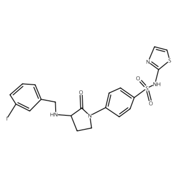 O=C1C(NCc2cccc(I)c2)CCN1c1ccc(S(=O)(=O)Nc2nccs2)cc1